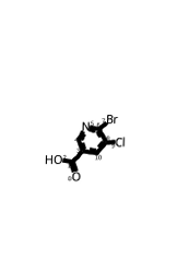 O=C(O)c1cnc(Br)c(Cl)c1